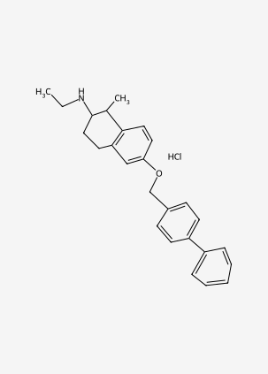 CCNC1CCc2cc(OCc3ccc(-c4ccccc4)cc3)ccc2C1C.Cl